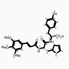 COc1cc(C=CC(=O)N[C@@H](CC2CC=CS2)C(=O)N[C@@H](Cc2ccc(O)cc2)C(=O)O)cc(OC)c1OC